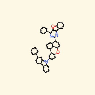 c1ccc(-c2ccc3c4ccccc4n(-c4ccc5c(c4)-c4cccc6c(-c7nc(-c8ccccc8)c8oc9ccccc9c8n7)ccc(c46)O5)c3c2)cc1